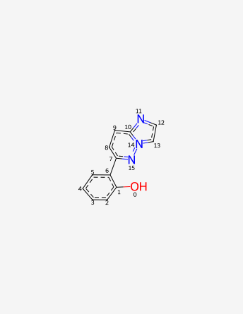 Oc1ccccc1-c1ccc2nccn2n1